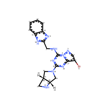 Brc1cnn2c(NCc3nc4ccccc4[nH]3)nc(N3C[C@H]4CN[C@H]4C3)nc12